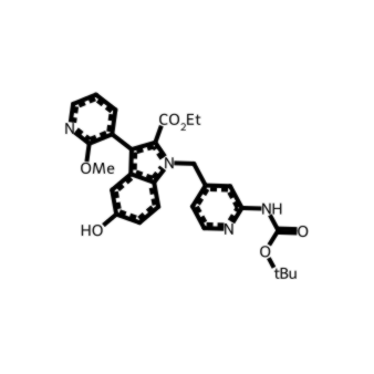 CCOC(=O)c1c(-c2cccnc2OC)c2cc(O)ccc2n1Cc1ccnc(NC(=O)OC(C)(C)C)c1